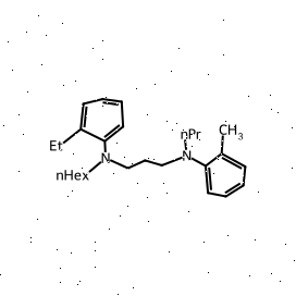 CCCCCCN(CCCN(CCC)c1ccccc1C)c1ccccc1CC